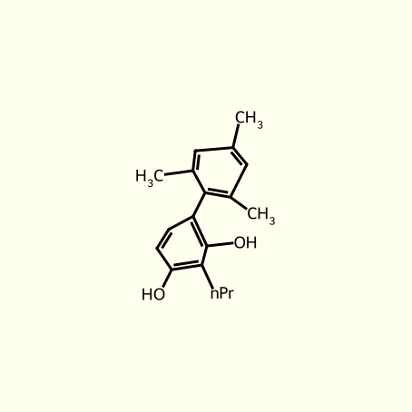 CCCc1c(O)ccc(-c2c(C)cc(C)cc2C)c1O